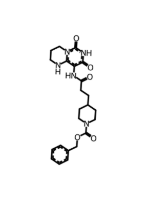 O=C(CCC1CCN(C(=O)OCc2ccccc2)CC1)Nc1c2n(c(=O)[nH]c1=O)CCCN2